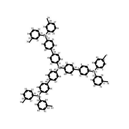 Cc1ccc(N(c2ccc(-c3ccc(N(c4ccc(-c5ccc(N(c6cccc(C)c6)c6cccc(C)c6)cc5)cc4)c4ccc(-c5ccc(N(c6cccc(C)c6)c6cccc(C)c6)cc5)cc4)cc3)cc2)c2cccc(C)c2)cc1